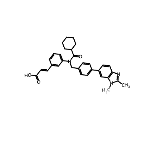 Cc1nc2ccc(-c3ccc(CN(C(=O)C4CCCCC4)c4cccc(/C=C/C(=O)O)c4)cc3)cc2n1C